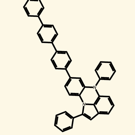 c1ccc(-c2ccc(-c3ccc(-c4ccc5c(c4)N(c4ccccc4)c4cccc6cc(-c7ccccc7)n-5c46)cc3)cc2)cc1